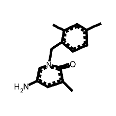 Cc1ccc(Cn2cc(N)cc(C)c2=O)c(C)c1